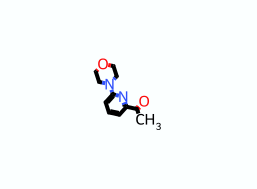 CC(=O)c1cccc(N2CCOCC2)n1